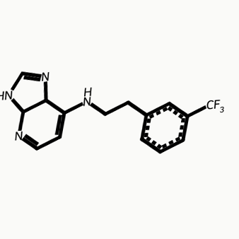 FC(F)(F)c1cccc(CCNC2=CC=NC3NC=NC23)c1